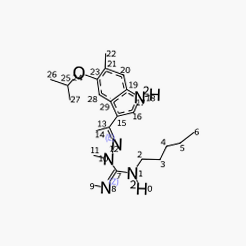 [2H]N(CCCCC)/C(=N/C)N(C)/N=C(\C)c1cn([2H])c2cc(C)c(OC(C)C)cc12